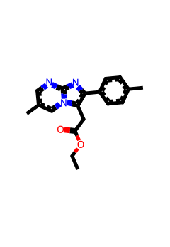 CCOC(=O)Cc1c(-c2ccc(C)cc2)nc2ncc(C)cn12